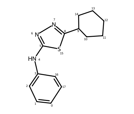 c1ccc(Nc2nnc(C3CCCCC3)s2)cc1